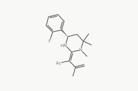 C=C(C)/C(C(C)=O)=C1/N[C@@H](c2ccccc2F)CC(C)(C)N1C